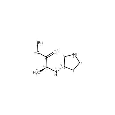 C[C@H](N[C@H]1CCNC1)C(=O)OC(C)(C)C